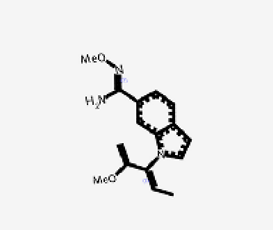 C=C(OC)/C(=C/C)n1ccc2ccc(/C(N)=N/OC)cc21